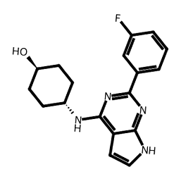 O[C@H]1CC[C@H](Nc2nc(-c3cccc(F)c3)nc3[nH]ccc23)CC1